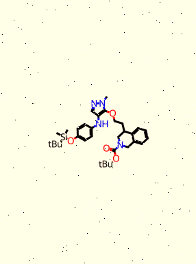 Cn1ncc(Nc2ccc(O[Si](C)(C)C(C)(C)C)cc2)c1OCCC1CN(C(=O)OC(C)(C)C)Cc2ccccc21